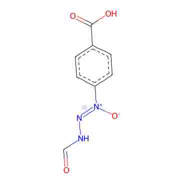 O=CN/N=[N+](\[O-])c1ccc(C(=O)O)cc1